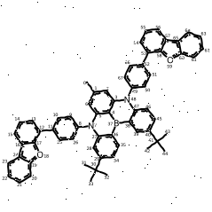 Cc1cc2c3c(c1)N(c1ccc(-c4cccc5c4oc4ccccc45)cc1)c1cc(C(C)(C)C)ccc1B3c1cc(C(C)(C)C)ccc1N2c1ccc(-c2cccc3c2oc2ccccc23)cc1